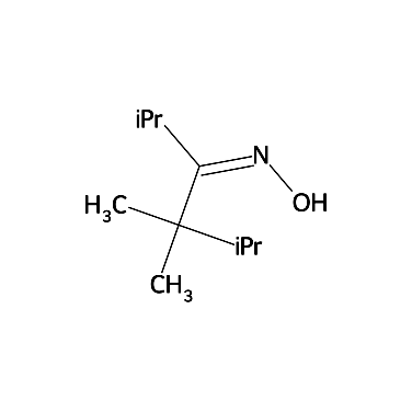 CC(C)C(=NO)C(C)(C)C(C)C